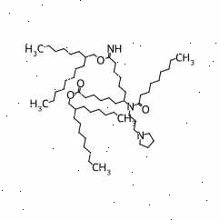 CCCCCCCCC(=O)N(CCCN1CCCC1)C(CCCCCC(=N)OCC(CCCCCC)CCCCCCCC)CCCCCC(=O)OCC(CCCCCC)CCCCCCCC